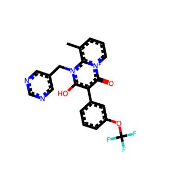 Cc1ccc[n+]2c(=O)c(-c3cccc(OC(F)(F)F)c3)c(O)n(Cc3cncnc3)c12